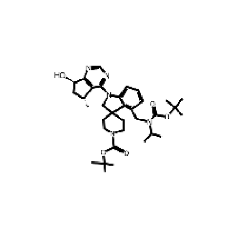 CC(C)N(Cc1cccc2c1C1(CCN(C(=O)OC(C)(C)C)CC1)CN2c1ncnc2c1[C@H](C)C[C@H]2O)C(=O)OC(C)(C)C